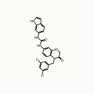 O=C(Nc1ccc2c(c1)OCC(=O)N2Cc1cc(F)cc(Cl)c1)Nc1ccc2cc[nH]c2c1